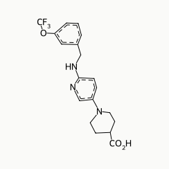 O=C(O)C1CCN(c2ccc(NCc3cccc(OC(F)(F)F)c3)nc2)CC1